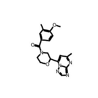 COc1ccc(C(=O)N2CCOC(c3cc(C)nc4ncnn34)C2)cc1C